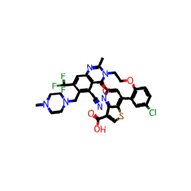 Cc1cc(-c2cc(Cl)ccc2OCCn2c(C)nc3cc(C(F)(F)F)c(CN4CCN(C)CC4)c(C#N)c3c2=O)c2scc(C(=O)O)c2n1